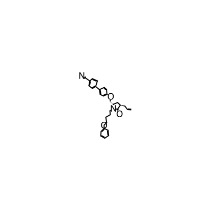 C=CC[C@@H]1C[C@@H](COc2ccc(-c3ccc(C#N)cc3)cc2)N(CCCCOc2ccccc2)C1=O